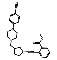 COC(=O)c1cccnc1C#C[C@H]1CCC(CN2CCN(c3ccc(C#N)cc3)CC2)C1